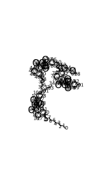 CCCCCCCCSc1ccc2c3c(cccc13)C(=O)N(OS(=O)(=O)c1ccc(C(CCCC)CCCSc3cc4c5c(cccc5c3)C(=O)N(OS(=O)(=O)c3ccc(CC(COCCOCC)Sc5ccc6c7c(cccc57)C(=O)N(OS(=O)(=O)c5ccc(C)cc5)C6=O)cc3)C4=O)cc1)C2=O